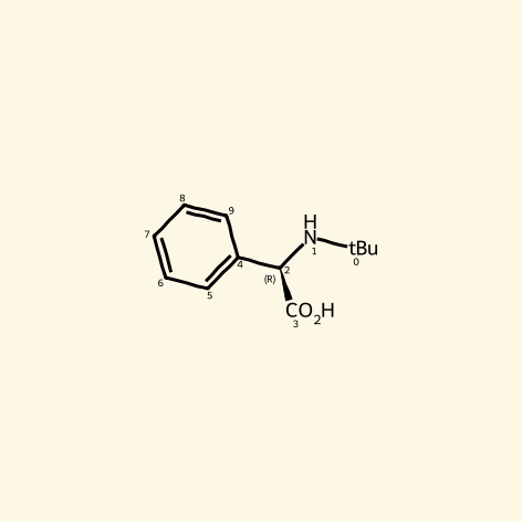 CC(C)(C)N[C@@H](C(=O)O)c1ccccc1